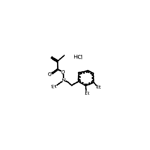 C=C(C)C(=O)ON(CC)Cc1cccc(CC)c1CC.Cl